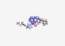 CC#CCN1CC[C@@H](n2c(=O)n(-c3ccc(Oc4ccccc4)cc3)c3c(N)ncnc32)C1